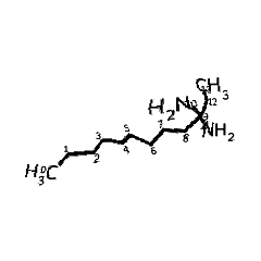 CCCCCCCCCC(N)(N)CC